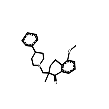 COc1cccc2c1CCC(C)(CN1CCC(c3ccccc3)CC1)C2=O